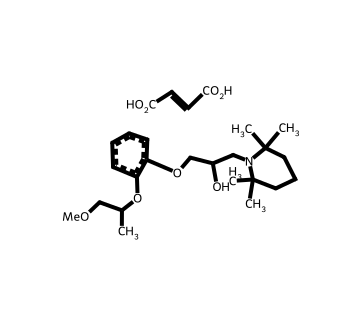 COCC(C)Oc1ccccc1OCC(O)CN1C(C)(C)CCCC1(C)C.O=C(O)/C=C/C(=O)O